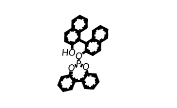 Oc1ccc2ccccc2c1-c1c(Op2oc3ccccc3c3ccccc3o2)ccc2ccccc12